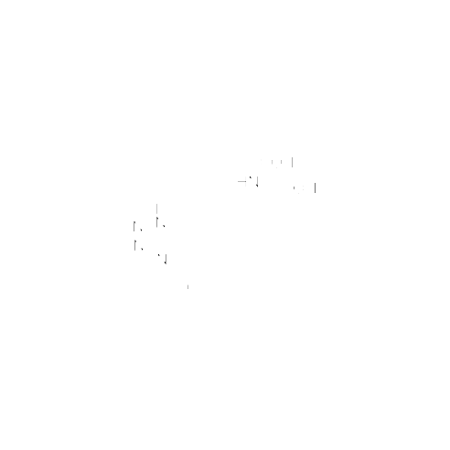 O=C(O)N[C@H](CO)c1ccc(Cl)c(-c2nnn[nH]2)c1